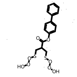 O=C(Oc1ccc(-c2ccccc2)cc1)C(CSOOO)CSOOO